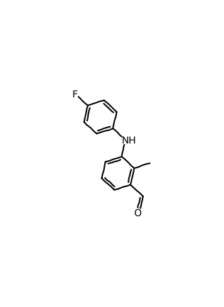 Cc1c(C=O)cccc1Nc1ccc(F)cc1